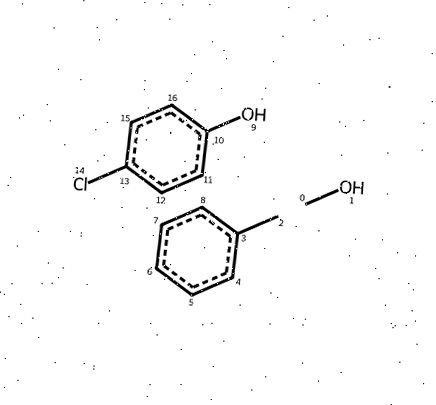 CO.Cc1ccccc1.Oc1ccc(Cl)cc1